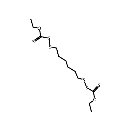 CCOC(=S)SSCCCCCCSSC(=S)OCC